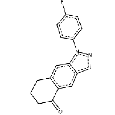 O=C1CCCc2cc3c(cnn3-c3ccc(F)cc3)cc21